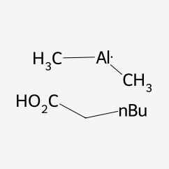 CCCCCC(=O)O.[CH3][Al][CH3]